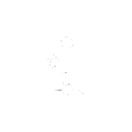 C=Cc1ccc(=O)n(CC(=O)c2nnn(Cc3ccccc3)c2C)c1